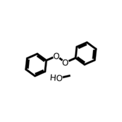 CO.c1ccc(OOc2ccccc2)cc1